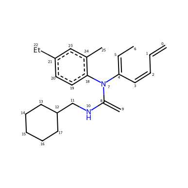 C=C/C=C\C(=C/C)N(C(=C)NCC1CCCCC1)c1ccc(CC)cc1C